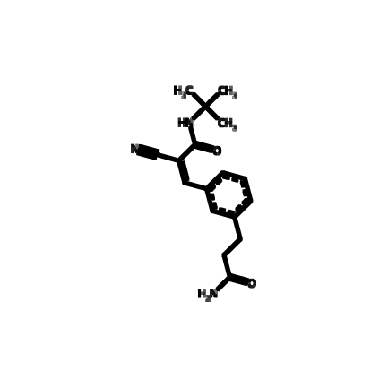 CC(C)(C)NC(=O)C(C#N)=Cc1cccc(CCC(N)=O)c1